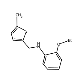 CCOc1ccccc1NCc1ccc(C)s1